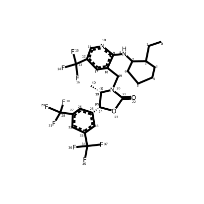 CCC1CCCCC1Nc1ncc(C(F)(F)F)cc1CN1C(=O)O[C@H](c2cc(C(F)(F)F)cc(C(F)(F)F)c2)[C@@H]1C